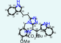 COc1ccc(Cn2c(CCc3c[nH]c4ccccc34)nnc2C(NC(=O)O)[C@@H](c2c[nH]c3ccccc23)C(C)(C)C)cc1